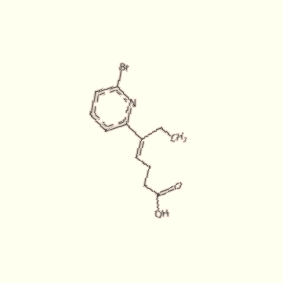 CC/C(=C\CCC(=O)O)c1cccc(Br)n1